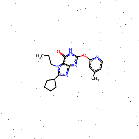 CCCn1c(C2CCCC2)nc2nc(Oc3cc(C)ccn3)[nH]c(=O)c21